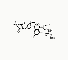 Cc1cc(Cl)cc(-c2ncnn3cc(CN4C(=O)C5C(C4=O)C5(C)C)cc23)c1C(=O)N1C[C@H](C)[C@H](NC(=O)OC(C)(C)C)C1